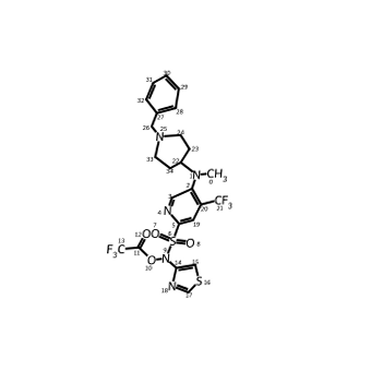 CN(c1cnc(S(=O)(=O)N(OC(=O)C(F)(F)F)c2cscn2)cc1C(F)(F)F)C1CCN(Cc2ccccc2)CC1